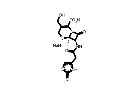 N=c1[nH]c(CC(=O)N[C@@H]2C(=O)N3C(C(=O)O)=C(CO)CS[C@H]23)cs1.[NaH]